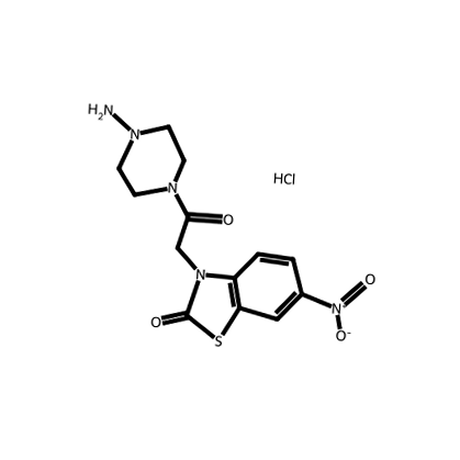 Cl.NN1CCN(C(=O)Cn2c(=O)sc3cc([N+](=O)[O-])ccc32)CC1